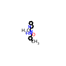 CC(=NNC(=O)c1cccc(C)c1)c1ccc2ccccc2n1